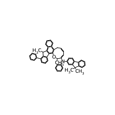 CC1c2c(-c3ccccc3)cccc2-c2c3c(c4ccccc4c21)C/C=C\C=C(\N(c1ccccc1)c1ccc2c(c1)C(C)(C)c1ccccc1-2)[C@@H](C)O3